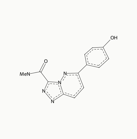 CNC(=O)c1nnc2ccc(-c3ccc(O)cc3)nn12